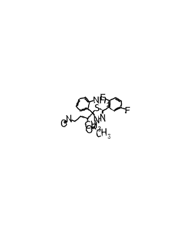 CC(=O)N1N=C(c2cc(F)ccc2F)S[C@]1(c1ccccc1N)C(C)CCN=O